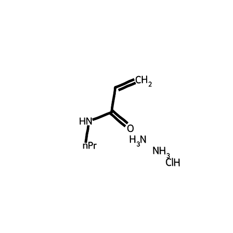 C=CC(=O)NCCC.Cl.N.N